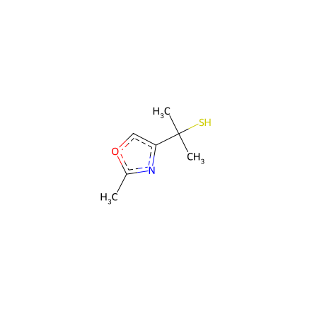 Cc1nc(C(C)(C)S)co1